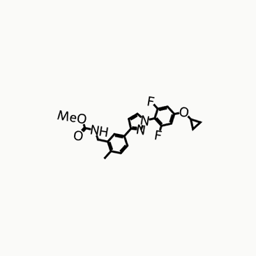 COC(=O)NCc1cc(-c2ccn(-c3c(F)cc(OC4CC4)cc3F)n2)ccc1C